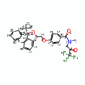 CN(CC(=O)C(F)(F)F)C(=O)c1ccc(OCCO[Si](c2ccccc2)(c2ccccc2)C(C)(C)C)cc1